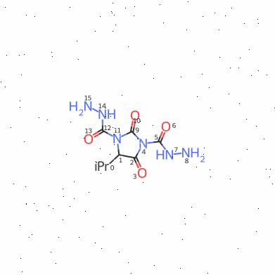 CC(C)C1C(=O)N(C(=O)NN)C(=O)N1C(=O)NN